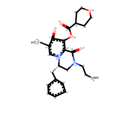 COCCN1C[C@H](Cc2ccccc2)n2cc(C(=O)O)c(=O)c(OC(=O)C3CCOCC3)c2C1=O